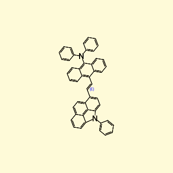 C(=C\c1ccc2c3c1ccc1cccc(c13)n2-c1ccccc1)/c1c2ccccc2c(N(c2ccccc2)c2ccccc2)c2ccccc12